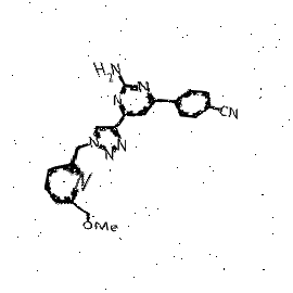 COCc1cccc(Cn2cc(-c3cc(-c4ccc(C#N)cc4)nc(N)n3)nn2)n1